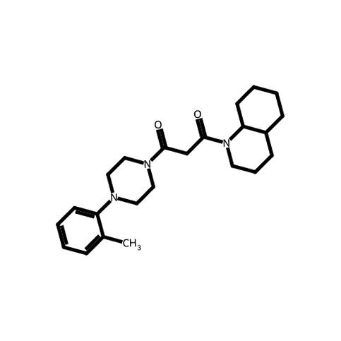 Cc1ccccc1N1CCN(C(=O)CC(=O)N2CCCC3CCCCC32)CC1